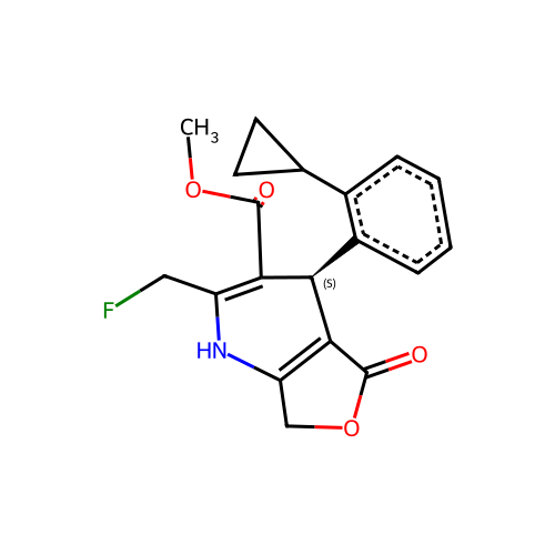 COC(=O)C1=C(CF)NC2=C(C(=O)OC2)[C@@H]1c1ccccc1C1CC1